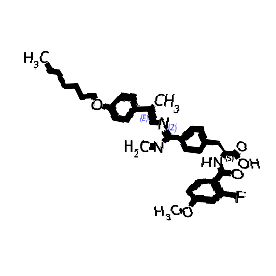 C=N/C(=N\C=C(/C)c1ccc(OCCCCCCC)cc1)c1ccc(C[C@H](NC(=O)c2ccc(OC)cc2F)C(=O)O)cc1